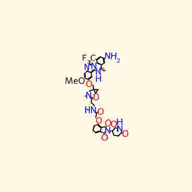 COc1cc2nc(C)nc(N[C@H](C)c3cc(N)cc(C(F)(F)F)c3)c2cc1OCC1(CN(C)C(=O)CCNC(=O)COc2cccc3c2C(=O)N(C2CCC(=O)NC2=O)C3=O)CC1